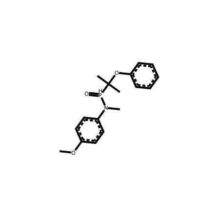 COc1ccc(N(C)[PH](=O)C(C)(C)Oc2ccccc2)cc1